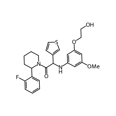 COc1cc(NC(C(=O)N2CCCCC2c2ccccc2F)c2ccsc2)cc(OCCO)c1